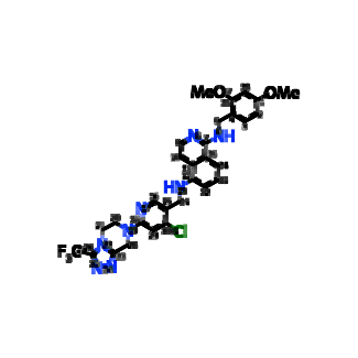 COc1ccc(CNc2nccc3c(NCc4cnc(N5CCn6c(nnc6C(F)(F)F)C5)cc4Cl)cccc23)c(OC)c1